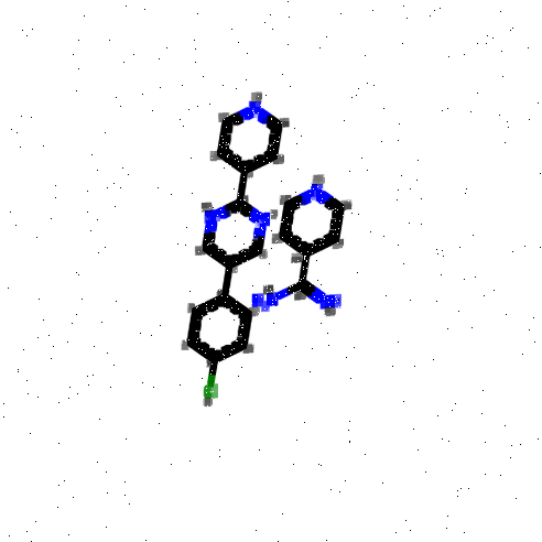 Clc1ccc(-c2cnc(-c3ccncc3)nc2)cc1.N=C(N)c1ccncc1